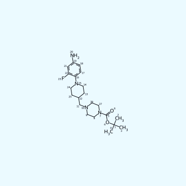 CC(C)(C)OC(=O)N1CCN(CC2CCN(c3ccc(N)cc3F)CC2)CC1